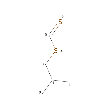 CC(C)CS[C]=S